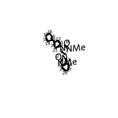 CNC(=O)N(CCN(C(=O)NC)c1ccc(-c2ccccc2)cc1)Cc1ccccc1